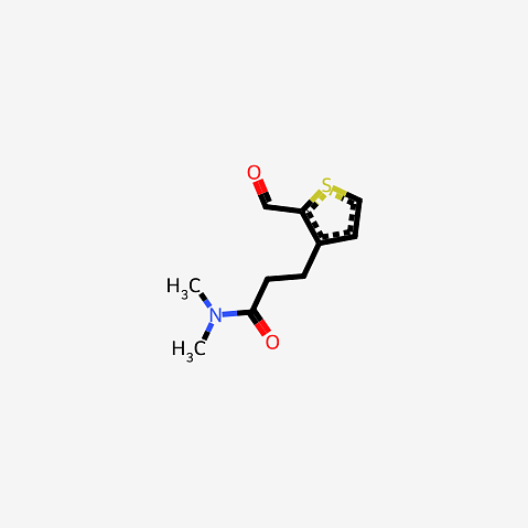 CN(C)C(=O)CCc1ccsc1C=O